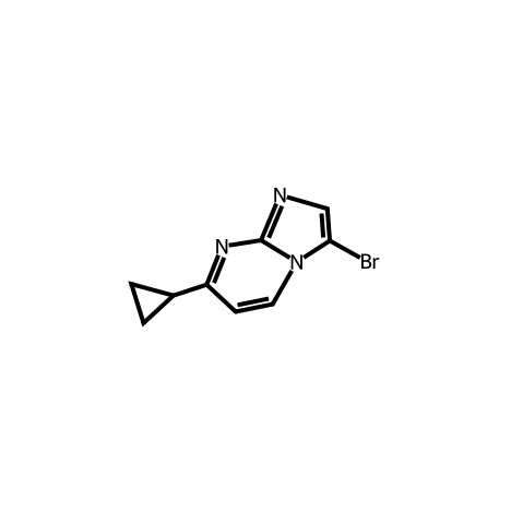 Brc1cnc2nc(C3CC3)ccn12